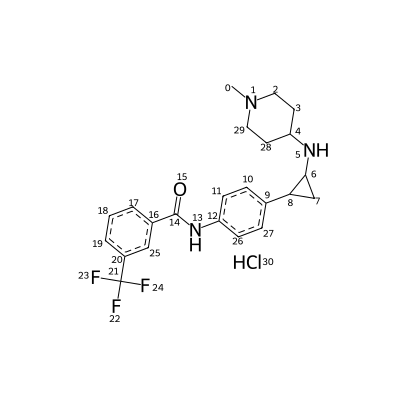 CN1CCC(NC2CC2c2ccc(NC(=O)c3cccc(C(F)(F)F)c3)cc2)CC1.Cl